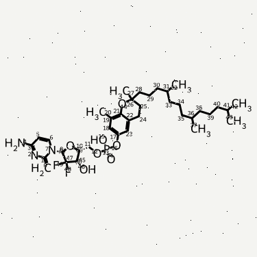 C=C1N=C(N)C=CN1[C@@H]1O[C@H](COP(=O)(O)Oc2cc(C)c3c(c2)CCC(C)(CCCC(C)CCCC(C)CCCC(C)C)O3)[C@H](O)C1(F)F